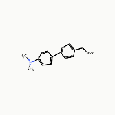 COCc1ccc(-c2ccc(N(C)C)cc2)cc1